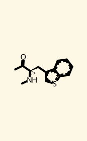 CN[C@H](Cc1csc2ccccc12)C(C)=O